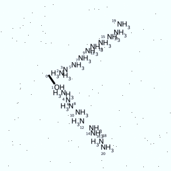 CO.N.N.N.N.N.N.N.N.N.N.N.N.N.N.N.N.N.N.N